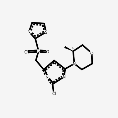 C[C@H]1COCCN1c1cc(CS(=O)(=O)c2nccs2)nc(Cl)n1